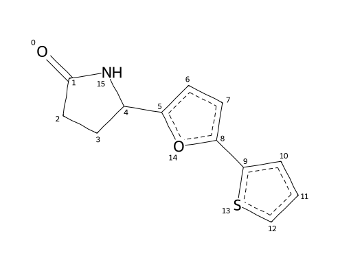 O=C1CCC(c2ccc(-c3cccs3)o2)N1